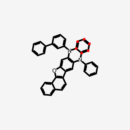 c1ccc(-c2cccc(N(c3ccccc3)c3cc4oc5c6ccccc6ccc5c4cc3N(c3ccccc3)c3ccccc3)c2)cc1